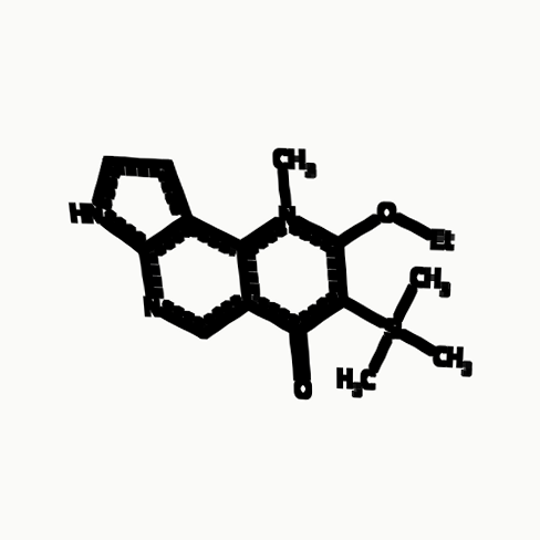 CCOc1c([Si](C)(C)C)c(=O)c2cnc3[nH]ccc3c2n1C